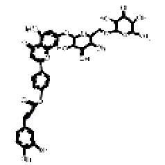 CC1OC(OCC2OC(Oc3cc(O)c4c(=O)cc(-c5ccc(OC(=O)/C=C/c6ccc(O)c(O)c6)cc5)oc4c3)C(O)C(O)C2O)C(O)C(O)C1O